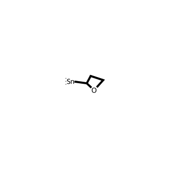 [Sn][CH]1CCO1